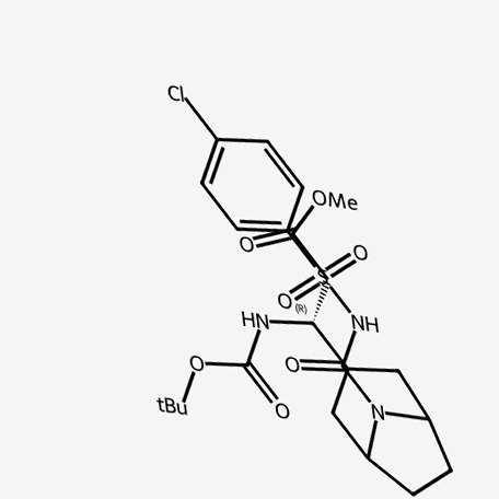 COC(=O)C[C@@H](NC(=O)OC(C)(C)C)C1CC2CCC(C1)N2C(=O)NS(=O)(=O)c1ccc(Cl)cc1